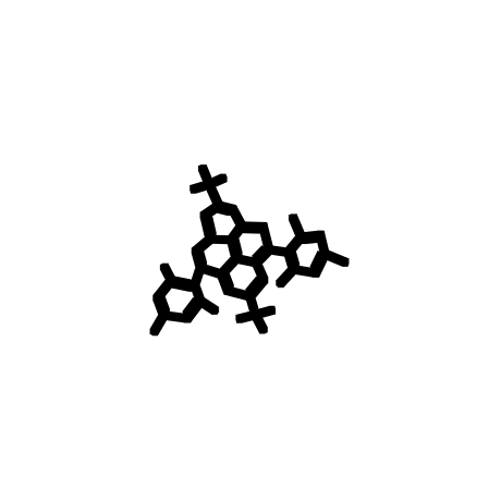 Cc1cc(C)c(-c2cc3cc(C(C)(C)C)cc4cc(-c5c(C)cc(C)cc5C)c5cc(C(C)(C)C)cc2c5c34)c(C)c1